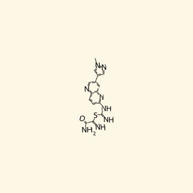 Cn1cc(-c2cnc3ccc(NC(=N)SC(=N)C(N)=O)nc3c2)cn1